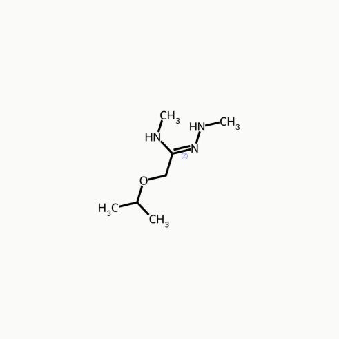 CN/N=C(/COC(C)C)NC